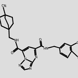 N#CC12CCC(CNC(=O)c3cc(C(=O)NCc4ccc(F)c(Cl)c4)nc4ncnn34)(CC1)CC2